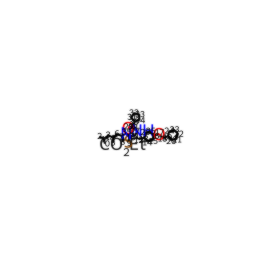 CCOC(=O)/C(C)=C\C(C)=C\c1csc([C@H](Cc2ccc(OCc3ccccc3)cc2)NC(=O)C2CCCC2)n1